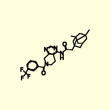 CC12CC3CC(C)(C1)CC(CC(=O)Nc1ncnc4c1CCN(C(=O)c1cccc(C(F)(F)F)c1)C4)(C3)C2